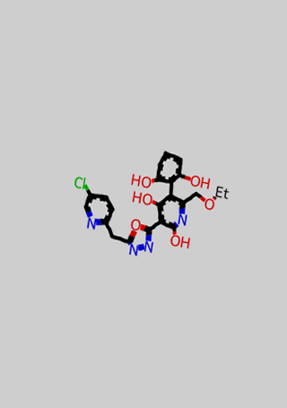 CCOCc1nc(O)c(-c2nnc(Cc3ccc(Cl)cn3)o2)c(O)c1-c1c(O)cccc1O